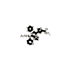 CC(=O)NN(c1cccnc1)c1ncc(-c2csc(C(N)=O)c2)n2ncnc12.c1ccccc1